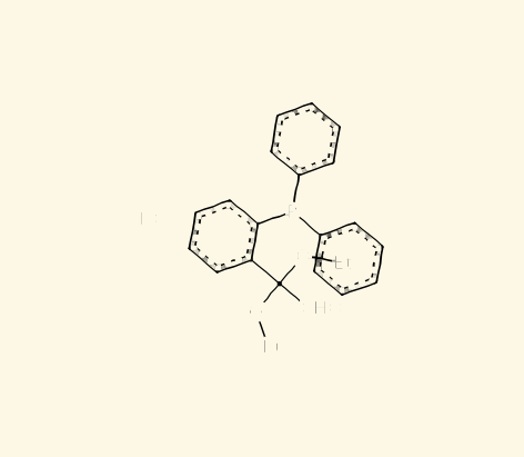 CCOC(C=O)(OCC)c1ccccc1P(c1ccccc1)c1ccccc1.Cl